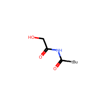 CC(C)(C)C(=O)NC(=O)CO